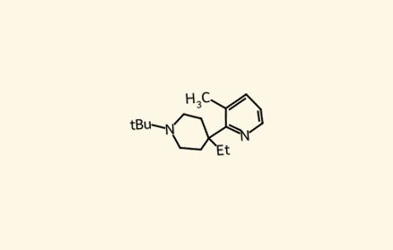 CCC1(c2ncccc2C)CCN(C(C)(C)C)CC1